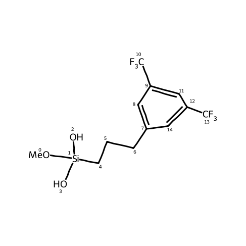 CO[Si](O)(O)CCCc1cc(C(F)(F)F)cc(C(F)(F)F)c1